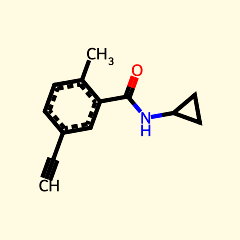 C#Cc1ccc(C)c(C(=O)NC2CC2)c1